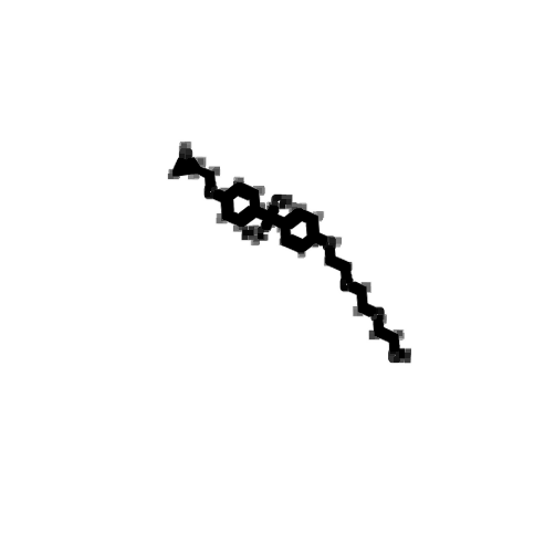 CC(C)(c1ccc(OCCOCCOCCO)cc1)c1ccc(OC[C@H]2CO2)cc1